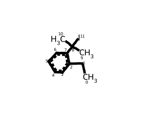 CCc1ccccc1C(C)(C)I